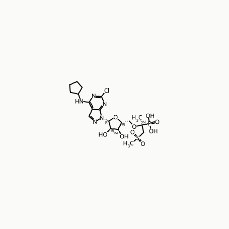 C[C@](CS(C)(=O)=O)(OC[C@H]1O[C@@H](n2ncc3c(NC4CCCC4)nc(Cl)nc32)[C@H](O)[C@@H]1O)P(=O)(O)O